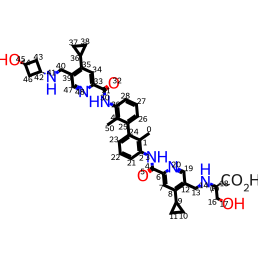 Cc1c(NC(=O)c2cc(C3CC3)c(CN[C@H](CO)C(=O)O)cn2)cccc1-c1cccc(NC(=O)c2cc(C3CC3)c(CN[C@H]3C[C@H](O)C3)cn2)c1C